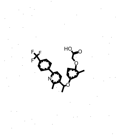 Cc1cc(OC(C)c2ccc(-c3ccc(C(F)(F)F)cc3)nc2C)ccc1OCC(=O)O